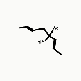 C/C=C/CC(/C=C/C)(CCC)C(C)=O